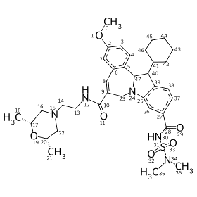 COc1ccc2c(c1)C=C(C(=O)NCCN1C[C@@H](C)O[C@@H](C)C1)CN1c3cc(C(=O)NS(=O)(=O)N(C)C)ccc3C(C3CCCCC3)C21